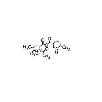 CC(=O)N(C)[C@H](CC(C)C)C(=O)OC(=O)[C@@H]1CC[C@H](C)NC1